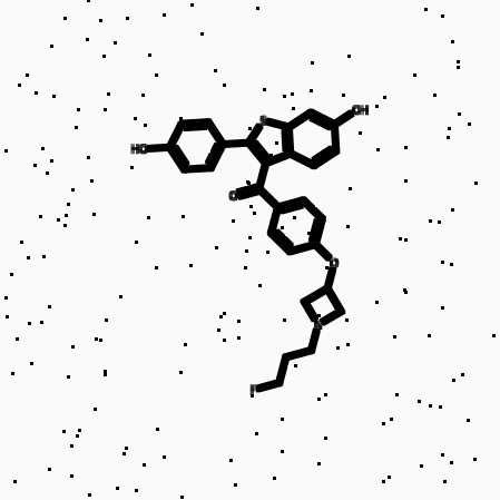 O=C(c1ccc(OC2CN(CCCF)C2)cc1)c1c(-c2ccc(O)cc2)sc2cc(O)ccc12